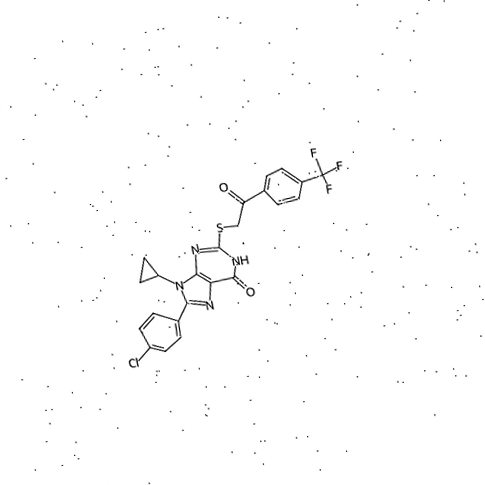 O=C(CSc1nc2c(nc(-c3ccc(Cl)cc3)n2C2CC2)c(=O)[nH]1)c1ccc(C(F)(F)F)cc1